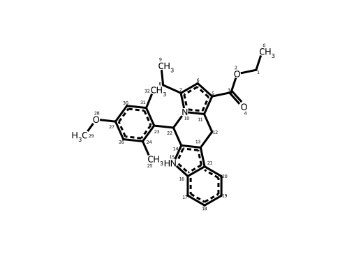 CCOC(=O)c1cc(CC)n2c1Cc1c([nH]c3ccccc13)C2c1c(C)cc(OC)cc1C